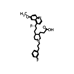 COc1ccc2nccc([C@@H](F)CCC3CCN(CCCc4cccc(F)c4)CC3CCC(=O)O)c2c1